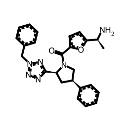 C[C@H](N)c1ccc(C(=O)N2C[C@@H](c3ccccc3)C[C@H]2c2nnn(Cc3ccccc3)n2)o1